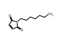 CCCCCCCN1C(=O)C=CC1=O